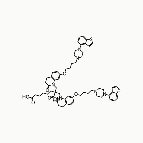 O=C(O)CCCCCC(CN1C(=O)CCc2ccc(OCCCCN3CCN(c4cccc5sccc45)CC3)cc21)(CN1C(=O)CCc2ccc(OCCCCN3CCN(c4cccc5sccc45)CC3)cc21)C(=O)O